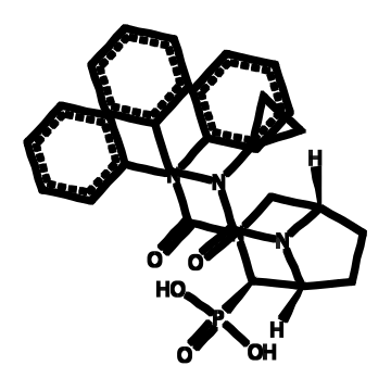 O=C(N(c1ccccc1)c1ccccc1)N1C[C@@H]2CC[C@H]([C@H]1P(=O)(O)O)N2C(=O)N(Cc1ccccc1)C1CC1